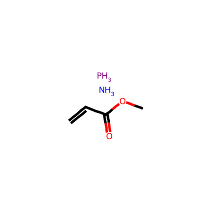 C=CC(=O)OC.N.P